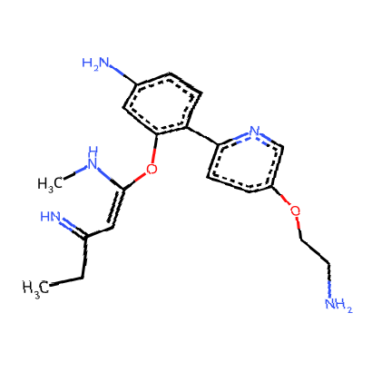 CCC(=N)/C=C(\NC)Oc1cc(N)ccc1-c1ccc(OCCN)cn1